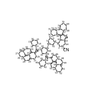 N#Cc1cc(-c2cccc(-c3cc(N(c4ccccc4)c4ccc5ccc6cccc7ccc4c5c67)cc(N(c4ccccc4)c4ccc5ccc6cccc7ccc4c5c67)c3)c2)c2c(c1)sc1c3ccccc3c3ccccc3c12